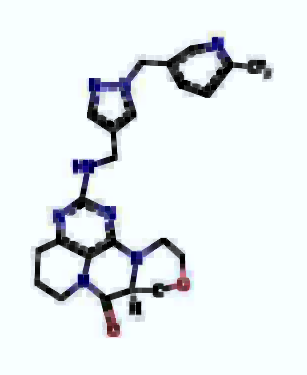 O=C1[C@@H]2COCCN2c2nc(NCc3cnn(Cc4ccc(C(F)(F)F)nc4)c3)nc3c2N1CCC3